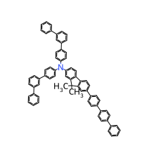 CC1(C)c2cc(-c3ccc(-c4ccc(-c5ccccc5)cc4)cc3)ccc2-c2ccc(N(c3ccc(-c4cccc(-c5ccccc5)c4)cc3)c3ccc(-c4cccc(-c5ccccc5)c4)cc3)cc21